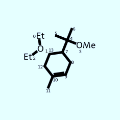 CCOCC.COC(C)(C)C1CC=C(C)CC1